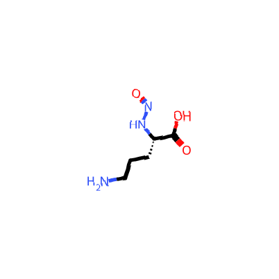 NCCC[C@H](NN=O)C(=O)O